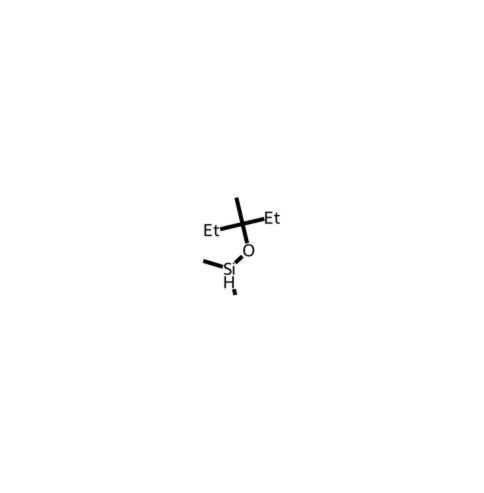 CCC(C)(CC)O[SiH](C)C